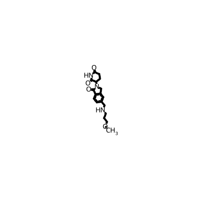 COCCCNCc1ccc2c(c1)CN(C1CCC(=O)NC1=O)C2=O